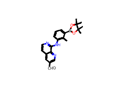 Cc1c(Nc2nccc3cc(C=O)cnc23)cccc1B1OC(C)(C)C(C)(C)O1